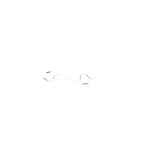 COc1ccc(CCCCc2[c]cccc2)cc1